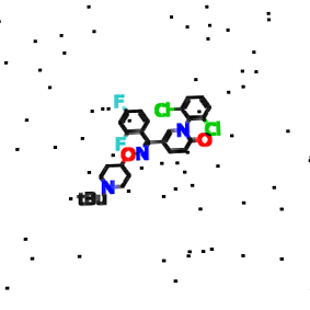 CC(C)(C)N1CCC(ON=C(c2ccc(=O)n(-c3c(Cl)cccc3Cl)c2)c2ccc(F)cc2F)CC1